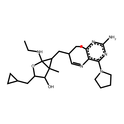 CCNC12OC(CC3CC3)C(O)C1(C)C2CC(/C=N\c1c(C)nc(N)nc1N1CCCC1)CC